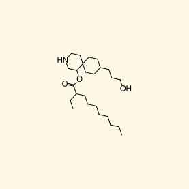 CCCCCCCCC(CC)C(=O)OC1CNCCC12CCC(CCCO)CC2